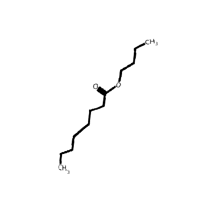 CCCCCCCC(=O)OCCCC